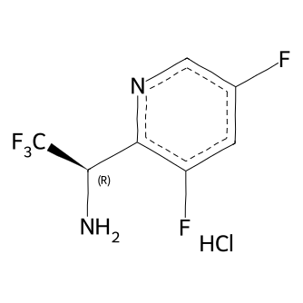 Cl.N[C@H](c1ncc(F)cc1F)C(F)(F)F